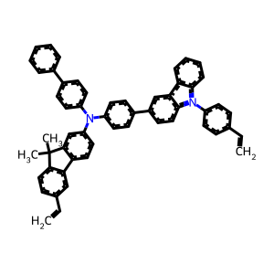 C=Cc1ccc(-n2c3ccccc3c3cc(-c4ccc(N(c5ccc(-c6ccccc6)cc5)c5ccc6c(c5)C(C)(C)c5ccc(C=C)cc5-6)cc4)ccc32)cc1